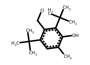 Cc1cc(C(C)(C)C)c(CCl)c(C(C)(C)C)c1O